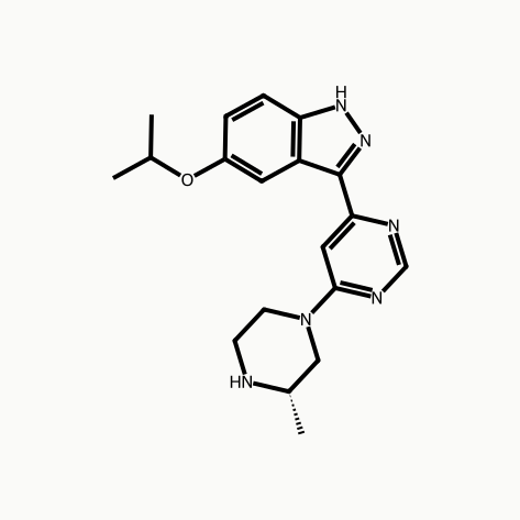 CC(C)Oc1ccc2[nH]nc(-c3cc(N4CCN[C@@H](C)C4)ncn3)c2c1